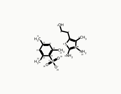 Cc1c(CCO)sc(N)[n+]1N.Cc1cc(C)c(S(=O)(=O)[O-])c(C)c1